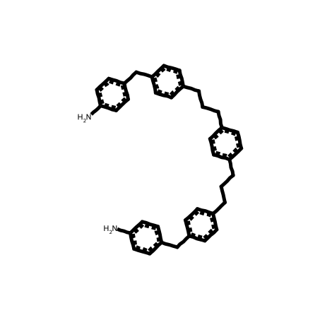 Nc1ccc(Cc2ccc(CCCc3ccc(CCCc4ccc(Cc5ccc(N)cc5)cc4)cc3)cc2)cc1